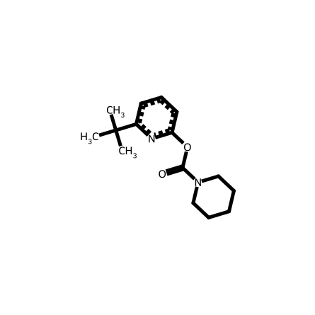 CC(C)(C)c1cccc(OC(=O)N2CCCCC2)n1